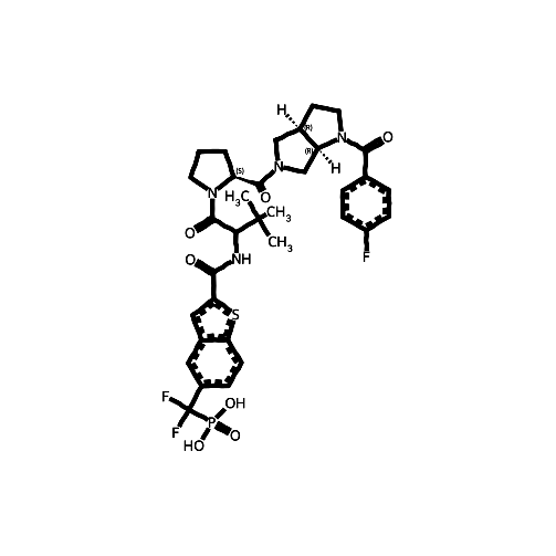 CC(C)(C)C(NC(=O)c1cc2cc(C(F)(F)P(=O)(O)O)ccc2s1)C(=O)N1CCC[C@H]1C(=O)N1C[C@H]2CCN(C(=O)c3ccc(F)cc3)[C@H]2C1